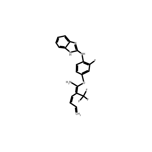 C=C/C=C\C(=C(/N)Oc1ccc(Nc2nc3ccccc3[nH]2)c(F)c1)C(F)(F)F